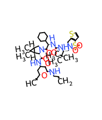 C#CCCC(NC(=O)[C@@H]1[C@@H]2[C@H](CN1C(=O)[C@@H](NC(=O)N[C@H](CN1Cc3sccc3S1(=O)=O)C(C)(C)C)C1CCCCC1)C2(C)C)C(=O)C(=O)NCC=C